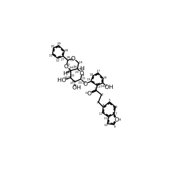 O=C(CCc1ccc2occc2c1)c1c(O)cccc1O[C@@H]1O[C@@H]2COC(c3ccccc3)O[C@H]2[C@H](O)[C@H]1O